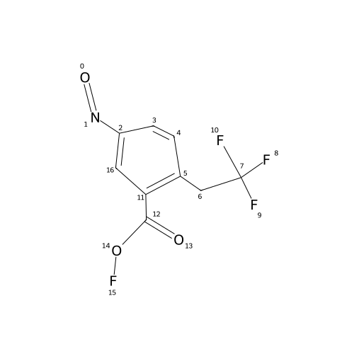 O=Nc1ccc(CC(F)(F)F)c(C(=O)OF)c1